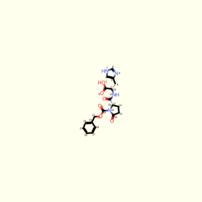 O=C(O)[C@H](Cc1c[nH]cn1)NC(=O)[C@@H]1CCC(=O)N1C(=O)OCc1ccccc1